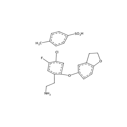 Cc1ccc(S(=O)(=O)O)cc1.NCCc1cc(F)c(Cl)cc1Oc1ccc2c(c1)CCO2